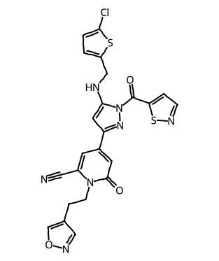 N#Cc1cc(-c2cc(NCc3ccc(Cl)s3)n(C(=O)c3ccns3)n2)cc(=O)n1CCc1cnoc1